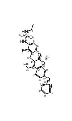 CCNS(=O)(=O)Nc1cccc(Cc2c(CF)c3ccc(Oc4ncccn4)cc3oc2=O)c1F.[KH]